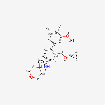 CCOc1cc(-c2ccc(NC3(C(=O)O)CCOCC3)cc2COC2CC2)cc(C)c1C